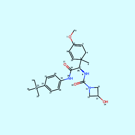 COC1=CCC(C)([C@@H](NC(=O)N2CC(O)C2)C(=O)Nc2ccc([Si](C)(C)C)cc2)C=C1